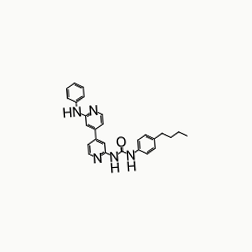 CCCCc1ccc(NC(=O)Nc2cc(-c3ccnc(Nc4ccccc4)c3)ccn2)cc1